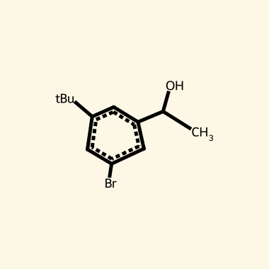 CC(O)c1cc(Br)cc(C(C)(C)C)c1